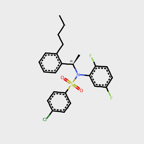 C[CH]CCc1ccccc1[C@@H](C)N(c1cc(F)ccc1F)S(=O)(=O)c1ccc(Cl)cc1